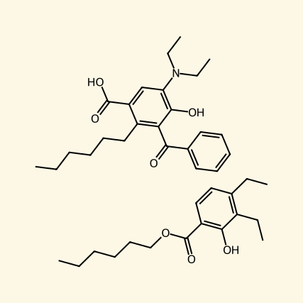 CCCCCCOC(=O)c1ccc(CC)c(CC)c1O.CCCCCCc1c(C(=O)O)cc(N(CC)CC)c(O)c1C(=O)c1ccccc1